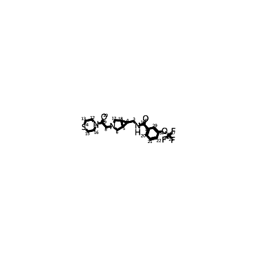 O=C(NCC1C2CN(CC(=O)N3CCSCC3)CC12)c1cccc(OC(F)(F)F)c1